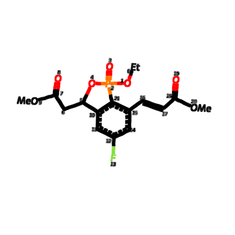 CCOP1(=O)OC(CC(=O)OC)c2cc(F)cc(C=CC(=O)OC)c21